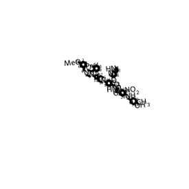 COc1cccc(CN2CCN(C3CC4(CCN(c5ccc(C(=O)NS(=O)(=O)c6ccc(NCC7CCC(C)(O)CC7)c([N+](=O)[O-])c6)c(Oc6cnc7[nH]ccc7c6)c5)CC4)C3)C(c3ccccc3C(C)C)C2)c1